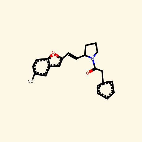 N#Cc1ccc2oc(C=CC3CCCN3C(=O)Cc3ccccc3)cc2c1